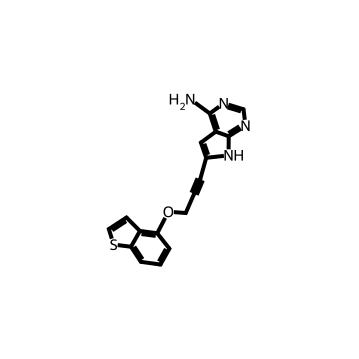 Nc1ncnc2[nH]c(C#CCOc3cccc4sccc34)cc12